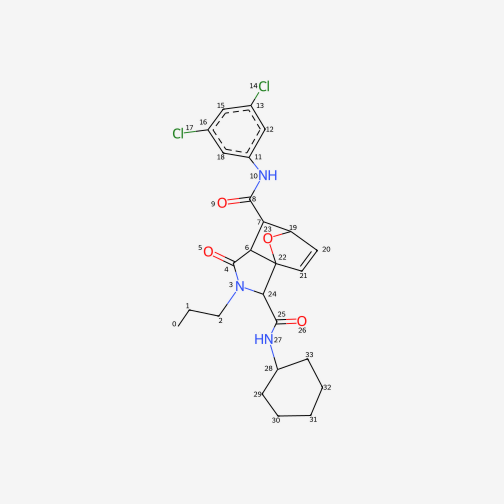 CCCN1C(=O)C2C(C(=O)Nc3cc(Cl)cc(Cl)c3)C3C=CC2(O3)C1C(=O)NC1CCCCC1